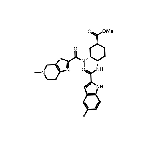 COC(=O)[C@H]1CC[C@H](NC(=O)c2cc3cc(F)ccc3[nH]2)[C@H](NC(=O)c2nc3c(s2)CN(C)CC3)C1